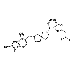 Cc1c(CN2CCC3(CCN(c4ncnc5sc(CC(F)F)cc45)C3)C2)ccc2[nH]c(C#N)cc12